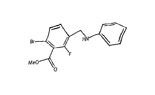 COC(=O)c1c(Br)ccc(CNc2ccccc2)c1F